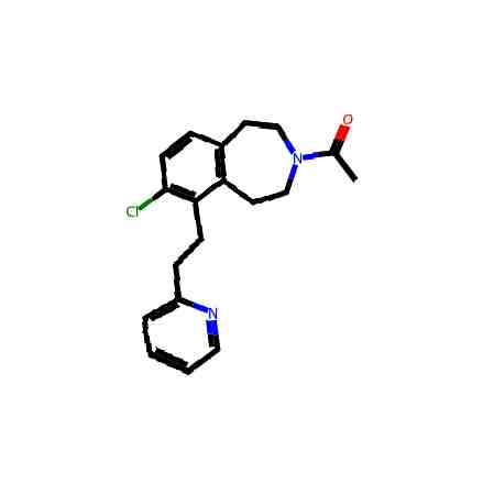 CC(=O)N1CCc2ccc(Cl)c(CCc3ccccn3)c2CC1